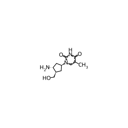 Cc1cn([C@H]2C[C@@H](CO)[C@H](N)C2)c(=O)[nH]c1=O